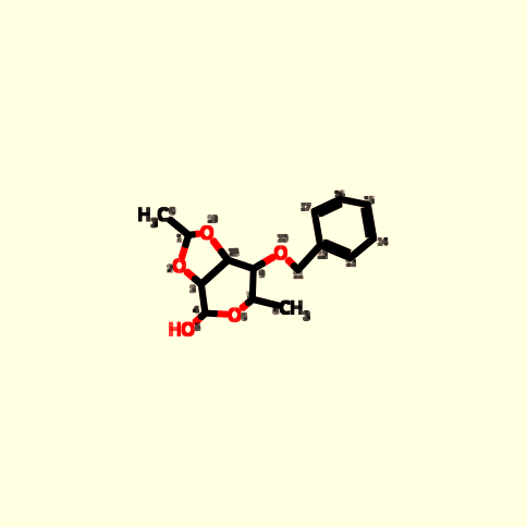 CC1OC2C(O)OC(C)C(OCc3ccccc3)C2O1